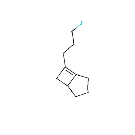 FCCCC1=C2CCCC2C1